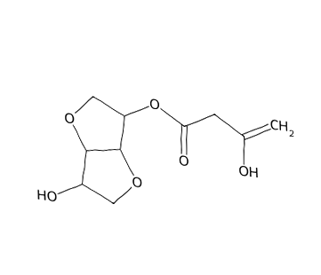 C=C(O)CC(=O)OC1COC2C(O)COC12